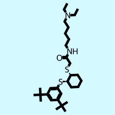 CCN(CC)CCCCCNC(=O)CS[C@@H]1CCCC[C@H]1Sc1cc(C(C)(C)C)cc(C(C)(C)C)c1